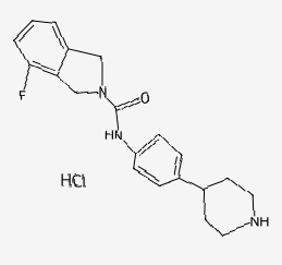 Cl.O=C(Nc1ccc(C2CCNCC2)cc1)N1Cc2cccc(F)c2C1